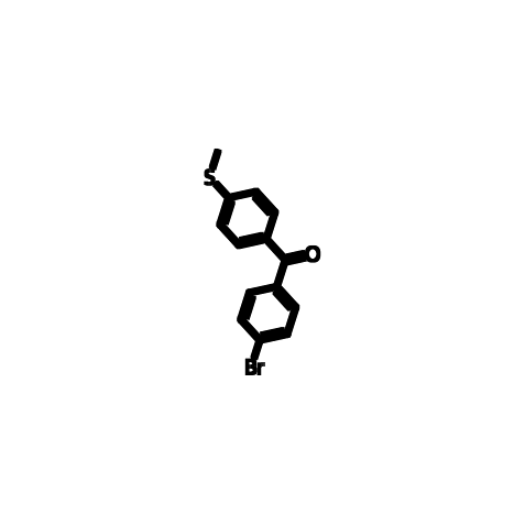 CSc1ccc(C(=O)c2ccc(Br)cc2)cc1